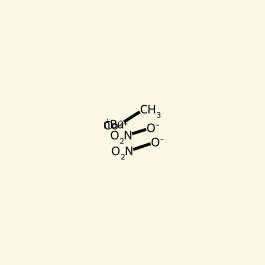 CCCCC.O=[N+]([O-])[O-].O=[N+]([O-])[O-].[Co+2]